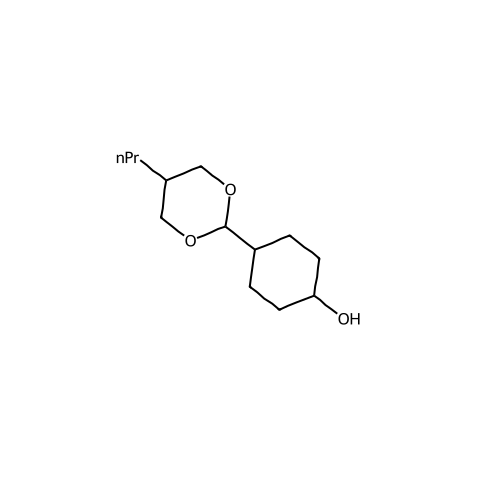 CCCC1COC(C2CCC(O)CC2)OC1